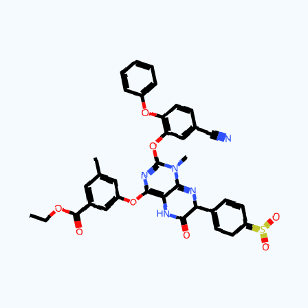 CCOC(=O)c1cc(C)cc(OC2=C3NC(=O)C(C4=CCC(=S(=O)=O)C=C4)N=C3N(C)C(Oc3cc(C#N)ccc3Oc3ccccc3)=N2)c1